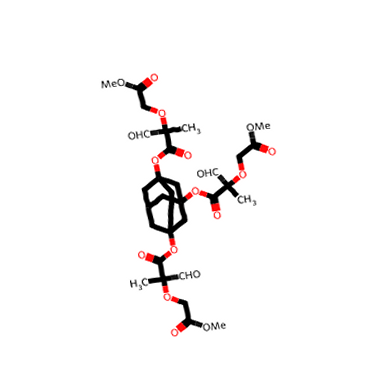 COC(=O)COC(C)(C=O)C(=O)OC12CC3CC(OC(=O)C(C)(C=O)OCC(=O)OC)(C1)CC(OC(=O)C(C)(C=O)OCC(=O)OC)(C3)C2